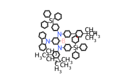 CC(C)(C)c1ccc(-c2ccc3c(c2)B2c4cc([Si](c5ccccc5)(c5ccccc5)c5ccccc5)ccc4N(c4cc(C(C)(C)C)cc(C(C)(C)C)c4)c4cc(-n5c6ccccc6c6ccccc65)cc(c42)N3c2ccc([Si](c3ccccc3)(c3ccccc3)c3ccccc3)cc2)cc1